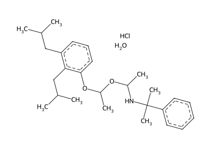 CC(C)Cc1cccc(OC(C)OC(C)NC(C)(C)c2ccccc2)c1CC(C)C.Cl.O